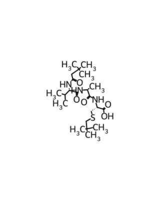 CC(C)[C@H](NC(=O)CC(C)(C)C)C(=O)N[C@@H](C)C(=O)N[C@@H](CSCC(C)(C)C)C(=O)O